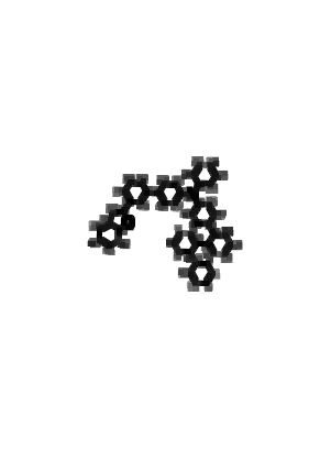 c1ccc(-c2ccccc2-c2ccccc2-c2ccc(N(c3ccccc3)c3ccc(-c4cccc(-c5cc6ccccc6o5)c4)cc3)cc2)cc1